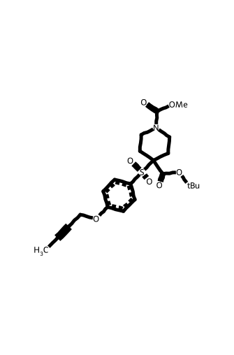 CC#CCOc1ccc(S(=O)(=O)C2(C(=O)OC(C)(C)C)CCN(C(=O)OC)CC2)cc1